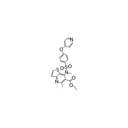 CCOC(=O)c1c(C)nc2ccsc2c1N(C)S(=O)(=O)c1ccc(Oc2ccncc2)cc1